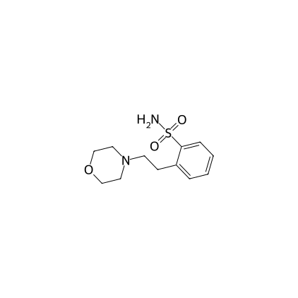 NS(=O)(=O)c1ccccc1CCN1CCOCC1